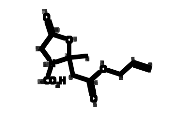 C=CCOC(=O)CC1(C)OC(=O)CN1C(=O)O